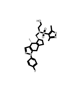 Cc1noc(C)c1S(=O)(=O)N(CCO)C[C@H]1CCC2=C1[C@@H](C)c1cnn(-c3ccc(F)cc3)c1C2